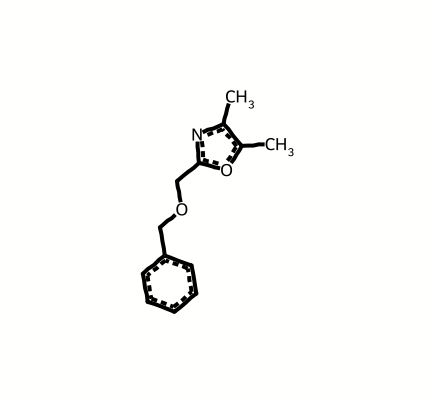 Cc1nc(COCc2ccccc2)oc1C